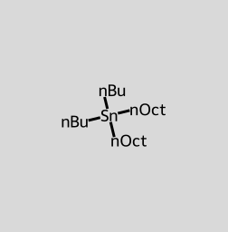 CCCCCCC[CH2][Sn]([CH2]CCC)([CH2]CCC)[CH2]CCCCCCC